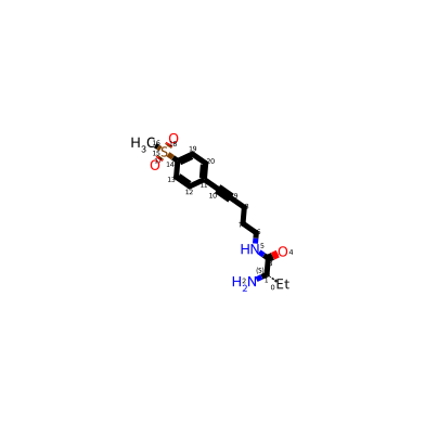 CC[C@H](N)C(=O)NCCCC#Cc1ccc(S(C)(=O)=O)cc1